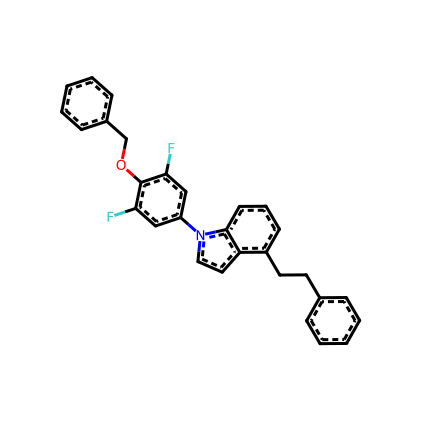 Fc1cc(-n2ccc3c(CCc4ccccc4)cccc32)cc(F)c1OCc1ccccc1